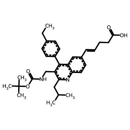 CCc1ccc(-c2c(CNC(=O)OC(C)(C)C)c(CC(C)C)nc3ccc(/C=C/CCC(=O)O)cc23)cc1